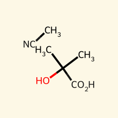 CC#N.CC(C)(O)C(=O)O